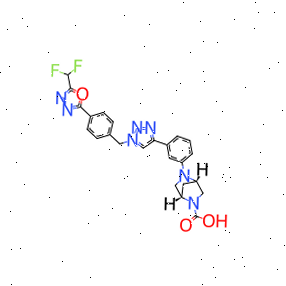 O=C(O)N1C[C@@H]2C[C@H]1CN2c1cccc(-c2cn(Cc3ccc(-c4nnc(C(F)F)o4)cc3)nn2)c1